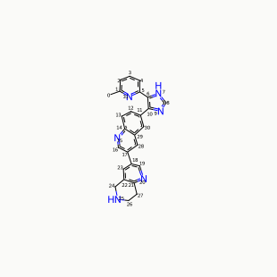 Cc1cccc(-c2[nH]cnc2-c2ccc3ncc(-c4cnc5c(c4)CNCC5)cc3c2)n1